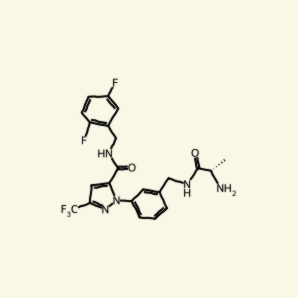 C[C@H](N)C(=O)NCc1cccc(-n2nc(C(F)(F)F)cc2C(=O)NCc2cc(F)ccc2F)c1